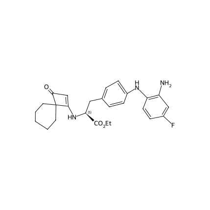 CCOC(=O)[C@H](Cc1ccc(Nc2ccc(F)cc2N)cc1)NC1=CC(=O)C12CCCCC2